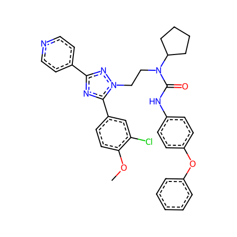 COc1ccc(-c2nc(-c3ccncc3)nn2CCN(C(=O)Nc2ccc(Oc3ccccc3)cc2)C2CCCC2)cc1Cl